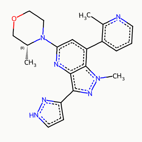 Cc1ncccc1-c1cc(N2CCOC[C@H]2C)nc2c(-c3cc[nH]n3)nn(C)c12